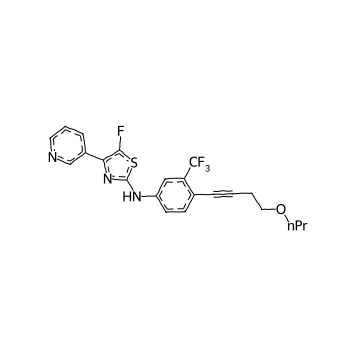 CCCOCCC#Cc1ccc(Nc2nc(-c3cccnc3)c(F)s2)cc1C(F)(F)F